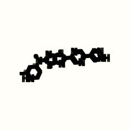 C[C@H]1C[C@@H](N(C)c2nc3sc(-c4cnc(-c5cn[nH]c5)cn4)nc3s2)CCN1